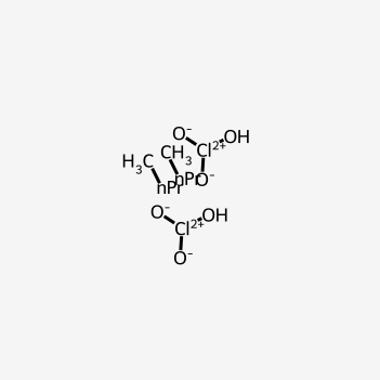 CCCC.CCCC.[O-][Cl+2]([O-])O.[O-][Cl+2]([O-])O